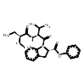 CC[C@H](NC)C(=O)N[C@H](C(=O)N1c2ncccc2C[C@H]1C(=O)Nc1ccccc1)C(C)C